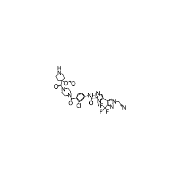 Cn1c(-c2cn(CC#N)nc2C(F)(F)F)cnc1C(=O)Nc1ccc(C(=O)N2CCN(C(=O)C3(OC=O)CCNCC3)CC2)c(Cl)c1